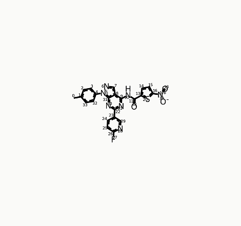 Cc1ccc(-n2ncc3c(NC(=O)c4ccc([N+](=O)[O-])s4)nc(-c4ccc(F)nc4)nc32)cc1